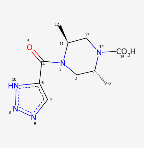 C[C@@H]1CN(C(=O)c2cnn[nH]2)[C@@H](C)CN1C(=O)O